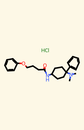 CN(C)C1(c2ccccc2)CCC(NC(=O)CCCOc2ccccc2)CC1.Cl